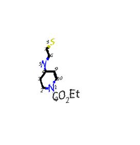 CCOC(=O)N1CCC(N=CC=S)CC1